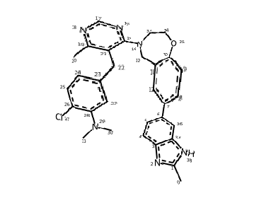 Cc1nc2ccc(-c3ccc4c(c3)CN(c3ncnc(C)c3Cc3ccc(Cl)c(N(C)C)c3)CCO4)cc2[nH]1